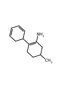 CC1CCC(C2C=CC=CC2)=C(N)C1